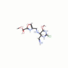 COC(=O)c1nc(CNc2c(C=N)nc(Cl)nc2OC)co1